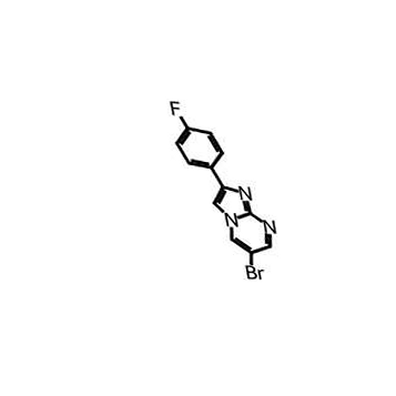 Fc1ccc(-c2cn3cc(Br)cnc3n2)cc1